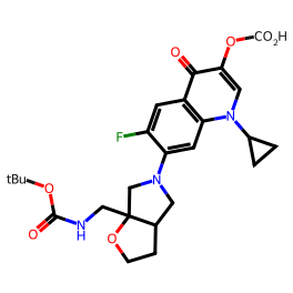 CC(C)(C)OC(=O)NCC12CN(c3cc4c(cc3F)c(=O)c(OC(=O)O)cn4C3CC3)CC1CCO2